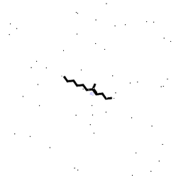 [CH2]CC/C=C(\C)CCCCC[CH2]